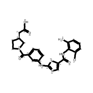 Cc1cccc(Cl)c1NC(=O)c1cnc(Nc2cccc(C(=O)N3CC[C@@H](CC(=O)O)C3)c2)s1